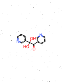 O=C(c1cccnc1)C(O)(O)c1cccnc1